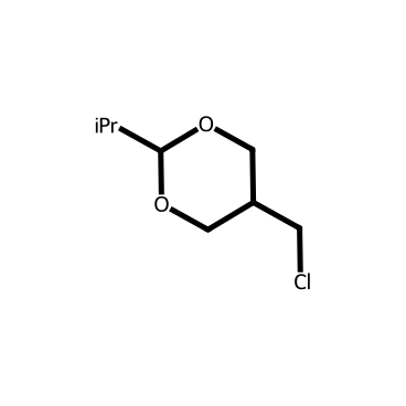 CC(C)C1OCC(CCl)CO1